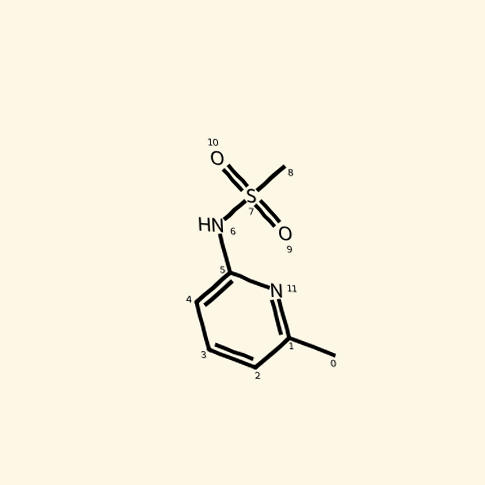 Cc1cccc(NS(C)(=O)=O)n1